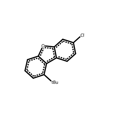 CC(C)(C)c1cccc2oc3cc(Cl)ccc3c12